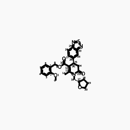 COc1ccccc1COC(=O)C1=C(C)N(C[C@@H]2CCCO2)C(=O)C[C@@H]1c1ccc2nsnc2c1